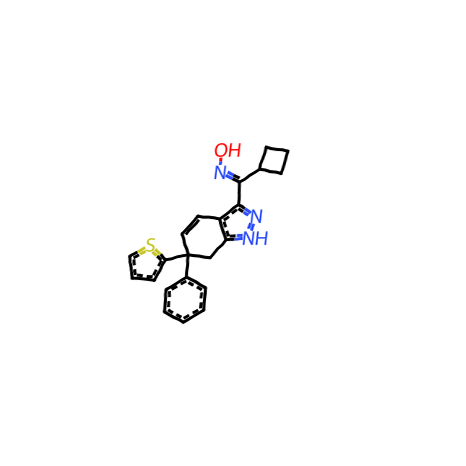 ON=C(c1n[nH]c2c1C=CC(c1ccccc1)(c1cccs1)C2)C1CCC1